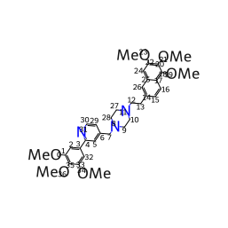 COc1cc(-c2cc(CN3CCN(CCc4ccc5c(OC)c(OC)c(OC)cc5c4)CC3)ccn2)cc(OC)c1OC